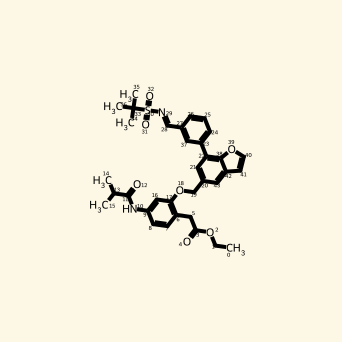 CCOC(=O)Cc1ccc(NC(=O)C(C)C)cc1OCc1cc(-c2cccc(C=NS(=O)(=O)C(C)(C)C)c2)c2occc2c1